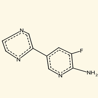 Nc1ncc(-c2cnccn2)cc1F